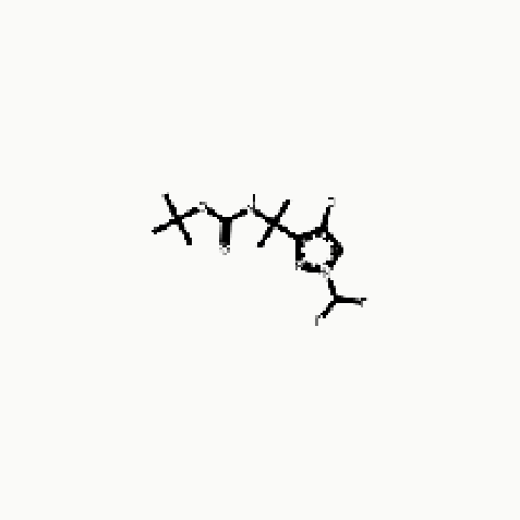 CC(C)(C)OC(=O)NC(C)(C)c1nn(C(F)F)cc1Cl